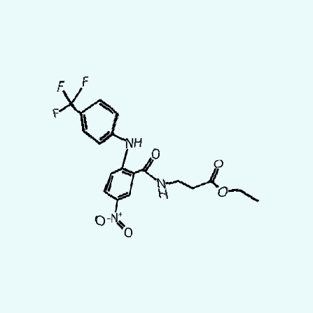 CCOC(=O)CCNC(=O)c1cc([N+](=O)[O-])ccc1Nc1ccc(C(F)(F)F)cc1